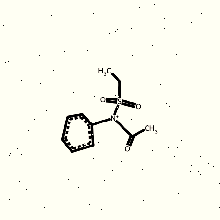 CCS(=O)(=O)[N+](C(C)=O)c1ccccc1